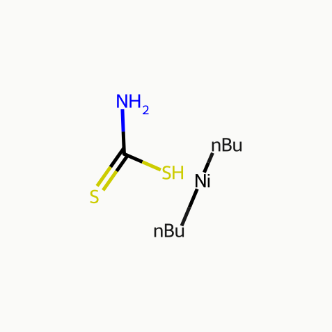 CCC[CH2][Ni][CH2]CCC.NC(=S)S